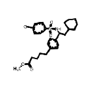 COC(=O)CCCCc1ccc(C(CC2CCCCC2)NS(=O)(=O)c2ccc(Cl)cc2)cc1